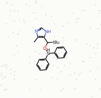 Cc1nc[nH]c1C(O[SiH](c1ccccc1)c1ccccc1)C(C)(C)C